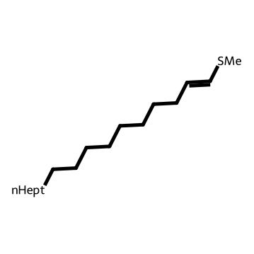 CCCCCCCCCCCCCCCC=CSC